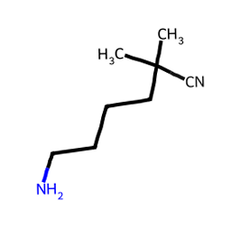 CC(C)(C#N)CCCCN